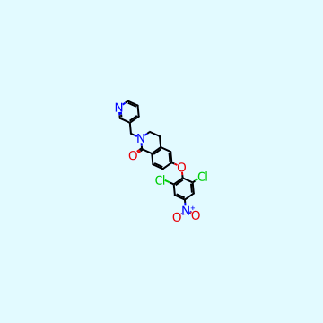 O=C1c2ccc(Oc3c(Cl)cc([N+](=O)[O-])cc3Cl)cc2CCN1Cc1cccnc1